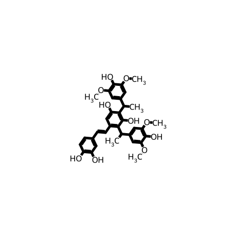 COc1cc(C(C)c2c(O)cc(/C=C/c3ccc(O)c(O)c3)c(C(C)c3cc(OC)c(O)c(OC)c3)c2O)cc(OC)c1O